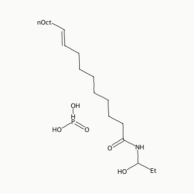 CCCCCCCCC=CCCCCCCCC(=O)NC(O)CC.O=[PH](O)O